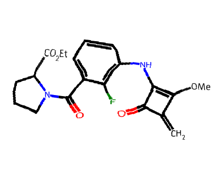 C=C1C(=O)C(Nc2cccc(C(=O)N3CCCC3C(=O)OCC)c2F)=C1OC